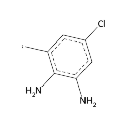 [CH]c1cc(Cl)cc(N)c1N